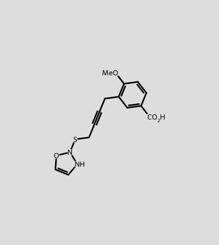 COc1ccc(C(=O)O)cc1CC#CCSN1NC=CO1